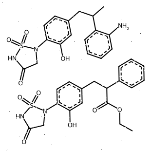 CC(Cc1ccc(N2CC(=O)NS2(=O)=O)c(O)c1)c1ccccc1N.CCOC(=O)C(Cc1ccc(N2CC(=O)NS2(=O)=O)c(O)c1)c1ccccc1